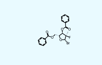 C[C@@]1(F)[C@H](OC(=O)c2ccccc2)[C@@H](COC(=O)c2ccccc2)O[C@@H]1Br